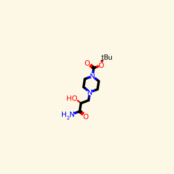 CC(C)(C)OC(=O)N1CCN(C[C@H](O)C(N)=O)CC1